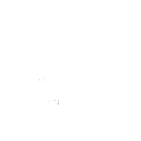 Cc1ccc(C2C(=O)Nc3ccccc32)cc1